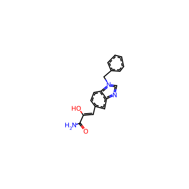 NC(=O)C(O)=Cc1ccc2c(c1)ncn2Cc1ccccc1